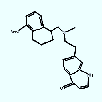 COc1cccc2c1CCCC2CN(C)CCc1ccc2c(=O)cc[nH]c2c1